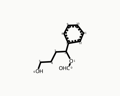 O=COC(CCCO)c1ccccc1